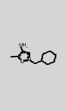 Cc1nn(CC2CCCCC2)cc1N